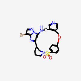 O=S1(=O)c2ccc(cc2)OCc2ccncc2CNc2cc(nc3c(Br)cnn23)C2CCCN1C2